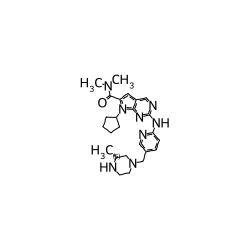 C[C@H]1CN(Cc2ccc(Nc3ncc4cc(C(=O)N(C)C)n(C5CCCC5)c4n3)nc2)CCN1